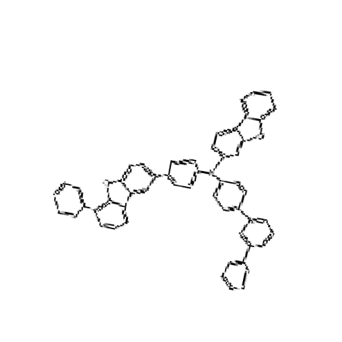 c1ccc(-c2cccc(-c3ccc(N(c4ccc(-c5ccc6oc7c(-c8ccccc8)cccc7c6c5)cc4)c4ccc5c(c4)oc4ccccc45)cc3)c2)cc1